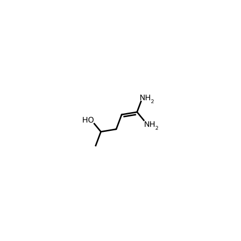 CC(O)CC=C(N)N